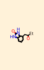 CCC(=O)Cc1cccc2[nH]c(=O)[nH]c12